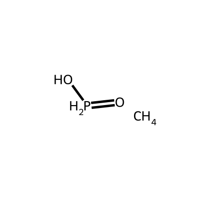 C.O=[PH2]O